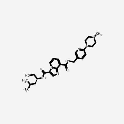 CC(C)C[C@@H](CO)NC(=O)c1cnc2c(C(=O)NCc3ccc(N4CCN(C)CC4)nc3)cccn12